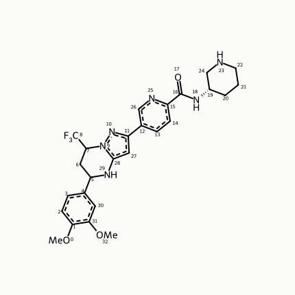 COc1ccc(C2CC(C(F)(F)F)n3nc(-c4ccc(C(=O)N[C@H]5CCCNC5)nc4)cc3N2)cc1OC